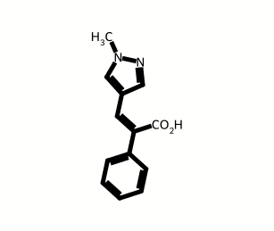 Cn1cc(C=C(C(=O)O)c2ccccc2)cn1